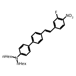 CCCCCCN(CCCCCC)c1ccc(-c2ccc(C=Cc3ccc([N+](=O)[O-])c(F)c3)cc2)cc1